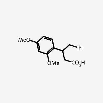 COc1ccc(C(CC(=O)O)CC(C)C)c(OC)c1